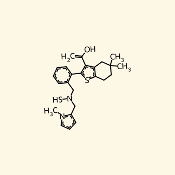 C=C(O)c1c(-c2ccccc2CN(S)Cc2cccn2C)sc2c1CC(C)(C)CC2